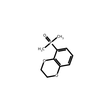 CP(C)(=O)c1cccc2c1OCCO2